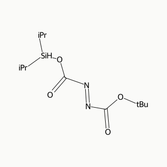 CC(C)[SiH](OC(=O)N=NC(=O)OC(C)(C)C)C(C)C